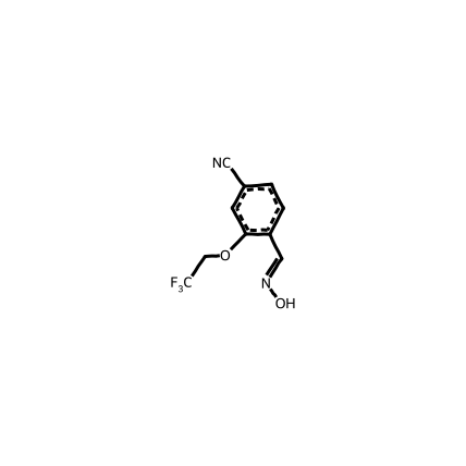 N#Cc1ccc(C=NO)c(OCC(F)(F)F)c1